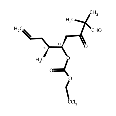 C=CC[C@H](C)[C@@H](CC(=O)C(C)(C)C=O)OC(=O)OCC(Cl)(Cl)Cl